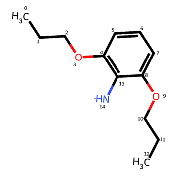 CCCOc1cccc(OCCC)c1[NH]